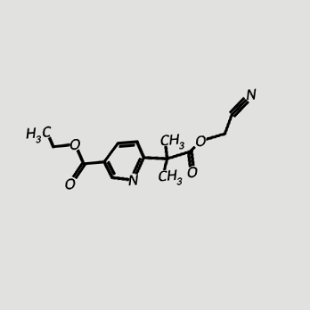 CCOC(=O)c1ccc(C(C)(C)C(=O)OCC#N)nc1